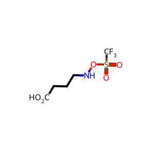 O=C(O)CCCNOS(=O)(=O)C(F)(F)F